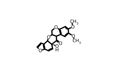 COc1cc2c(cc1OC)C1C(=O)[C@]3(O)C=Cc4occc4C3OC1CO2